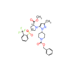 COC(=O)[C@@H]1C[C@@H](S(=O)(=O)c2ccccc2C(F)(F)F)CN1c1cc(C)nn1C1CCN(C(=O)OCc2ccccc2)CC1